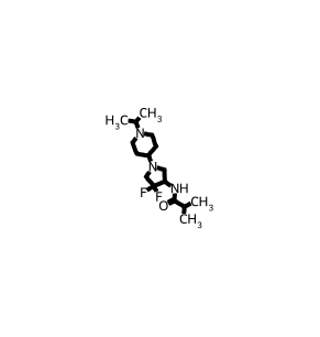 CC(C)C(=O)NC1CN(C2CCN(C(C)C)CC2)CC1(F)F